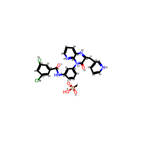 CS(=O)(=O)O.O=C(Nc1cccc(-n2c(=O)c(Cc3cccnc3)nc3cccnc32)c1)c1cc(Cl)cc(Cl)c1